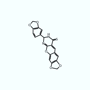 S=C1NC(c2ccc3c(c2)OCO3)N=C2Oc3cc4c(cc3C=C12)OCO4